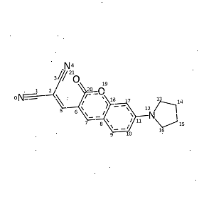 N#CC(C#N)=Cc1cc2ccc(N3CCCC3)cc2oc1=O